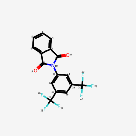 O=C1c2ccccc2C(=O)N1c1cc(C(F)(F)F)cc(C(F)(F)F)c1